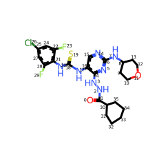 O=C(NNc1nc(NC2CCOCC2)ncc1NC(=S)Nc1c(F)cc(Cl)cc1F)C1CCCCC1